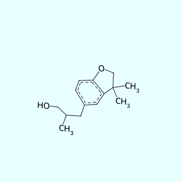 CC(CO)Cc1ccc2c(c1)C(C)(C)CO2